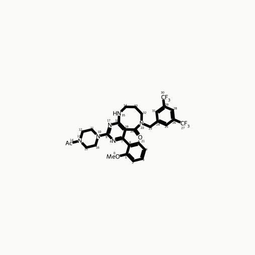 COc1ccccc1-c1nc(N2CCN(C(C)=O)CC2)nc2c1C(=O)N(Cc1cc(C(F)(F)F)cc(C(F)(F)F)c1)CCCN2